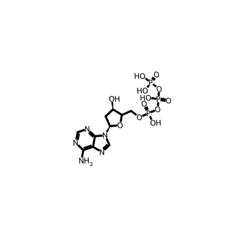 Nc1ncnc2c1ncn2[C@H]1C[C@@H](O)C(COP(=O)(O)OP(=O)(O)OP(=O)(O)O)O1